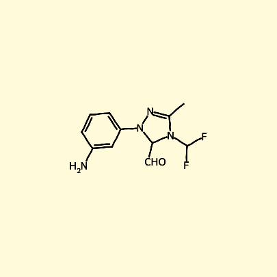 CC1=NN(c2cccc(N)c2)C(C=O)N1C(F)F